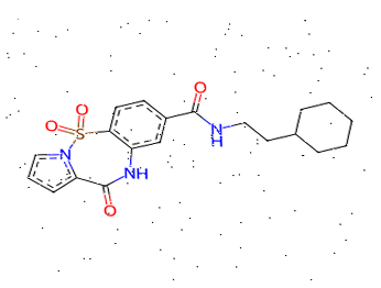 O=C(NCCC1CCCCC1)c1ccc2c(c1)NC(=O)c1cccn1S2(=O)=O